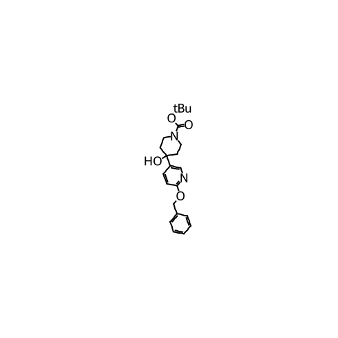 CC(C)(C)OC(=O)N1CCC(O)(c2ccc(OCc3ccccc3)nc2)CC1